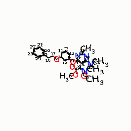 CON=C(C(=O)OC)c1c(Oc2cccc(OCCc3ccccc3)c2)nc(C)nc1N(C)C